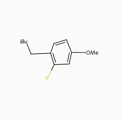 CCC(C)Cc1ccc(OC)cc1F